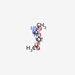 CC(=O)Nc1cc(Oc2ccc(COC(C)=O)cc2)ncn1